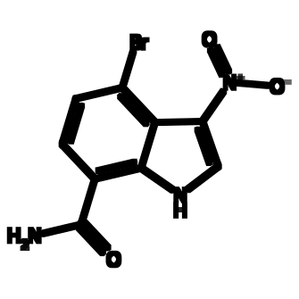 NC(=O)c1ccc(Br)c2c([N+](=O)[O-])c[nH]c12